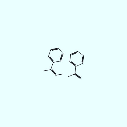 C/C=C(/C)c1ccccc1.C=C(C)c1ccccc1